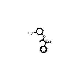 CC1CCCN(OC(=O)[C@@H](O)c2ccccc2)C1